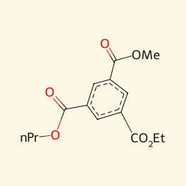 CCCOC(=O)c1cc(C(=O)OC)cc(C(=O)OCC)c1